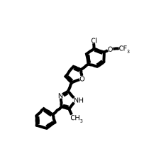 Cc1[nH]c(-c2ccc(-c3ccc(OC(F)(F)F)c(Cl)c3)o2)nc1-c1ccccc1